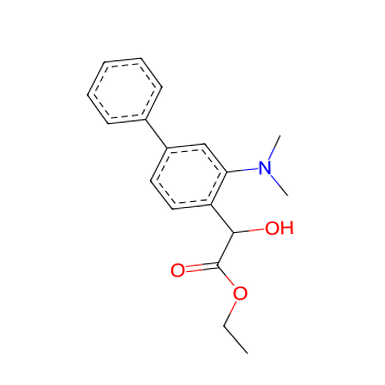 CCOC(=O)C(O)c1ccc(-c2ccccc2)cc1N(C)C